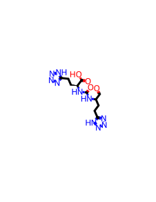 O=CC(CCc1nnn[nH]1)NC(=O)N[C@@H](CCc1nnn[nH]1)C(=O)O